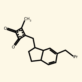 Cc1c(CC2CCC3C=CC(CC(C)C)=CC32)c(=O)c1=O